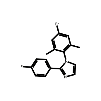 Cc1cc(Br)cc(C)c1-n1ccnc1-c1ccc(F)cc1